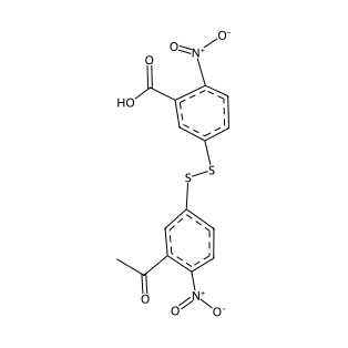 CC(=O)c1cc(SSc2ccc([N+](=O)[O-])c(C(=O)O)c2)ccc1[N+](=O)[O-]